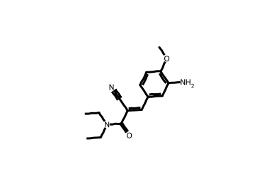 CCN(CC)C(=O)/C(C#N)=C/c1ccc(OC)c(N)c1